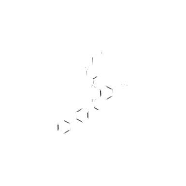 COCCN(C)CC(=O)Nc1cc(OC)ccc1NC(=O)c1ccc(-c2ccccc2)cc1